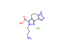 Cl.NCCCn1nc2c(c1C(=O)O)CCc1[nH]ncc1-2